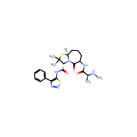 CN[C@@H](C)C(=O)NC1CCC[C@@H]2SC(C)(C)[C@@H](C(=O)Nc3snnc3-c3ccccc3)N2C1=O